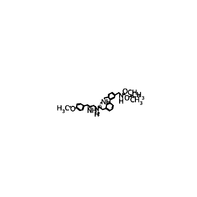 CCOc1ccc(C[C@@H](N)CN[C@H](CNCc2ccc(CNC(=O)OC(C)(C)C)cc2)Cc2ccccc2)cc1